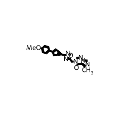 COc1ccc(C2=CC3C(C2)C3c2noc(Cn3cnn4cnc(C)c4c3=O)n2)cc1